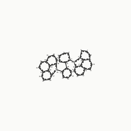 c1ccc(-n2c3cccc4ccc5cccc2c5c43)c(-c2ccccc2-n2c3cccc4ccc5cccc2c5c43)c1